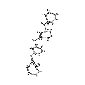 c1ccc(Cc2cccc(Cc3cccc(Cc4ccccc4)c3)c2)cc1